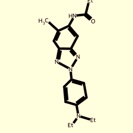 CCC(=O)Nc1cc2nn(-c3ccc(N(CC)CC)cc3)nc2cc1C